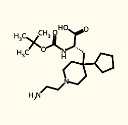 CC(C)(C)OC(=O)N[C@@H](CC1(C2CCCC2)CCN(CCN)CC1)C(=O)O